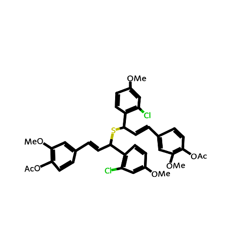 COc1ccc(C(C=Cc2ccc(OC(C)=O)c(OC)c2)SC(C=Cc2ccc(OC(C)=O)c(OC)c2)c2ccc(OC)cc2Cl)c(Cl)c1